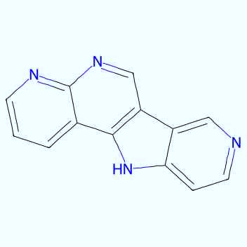 c1cnc2ncc3c4cnccc4[nH]c3c2c1